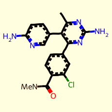 CNC(=O)c1ccc(-c2nc(N)nc(C)c2-c2ccc(N)nc2)cc1Cl